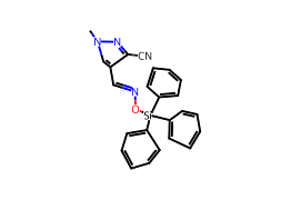 Cn1cc(/C=N/O[Si](c2ccccc2)(c2ccccc2)c2ccccc2)c(C#N)n1